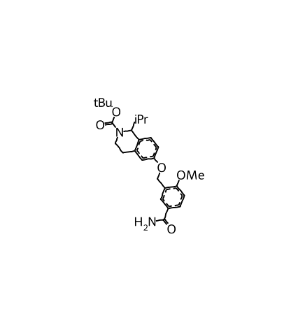 COc1ccc(C(N)=O)cc1COc1ccc2c(c1)CCN(C(=O)OC(C)(C)C)C2C(C)C